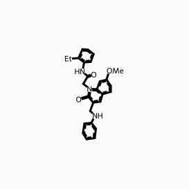 CCc1ccccc1NC(=O)Cn1c(=O)c(CNc2ccccc2)cc2ccc(OC)cc21